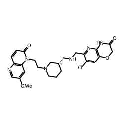 COc1cnc2ccc(=O)n(CCN3CCC[C@@H](CNCc4nc5c(cc4Cl)OCC(=O)N5)C3)c2c1